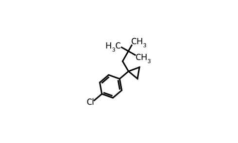 CC(C)(C)CC1(c2ccc(Cl)cc2)CC1